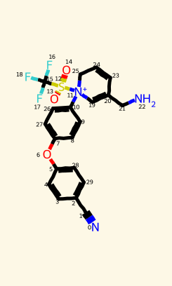 N#Cc1ccc(Oc2ccc([N+]3(S(=O)(=O)C(F)(F)F)C=C(CN)C=CC3)cc2)cc1